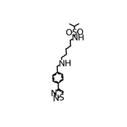 CC(C)S(=O)(=O)NCCCCCNCc1ccc(-c2csnn2)cc1